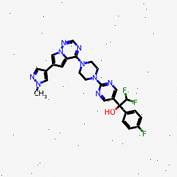 Cn1cc(-c2cc3c(N4CCN(c5ncc(C(O)(c6ccc(F)cc6)C(F)F)cn5)CC4)ncnn3c2)cn1